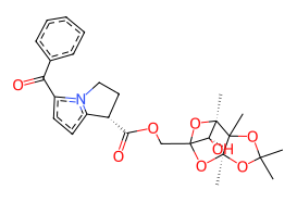 CC1(C)OC2(C)[C@@](C)(O1)OC1(COC(=O)[C@H]3CCn4c(C(=O)c5ccccc5)ccc43)O[C@]2(C)[C@@]1(C)O